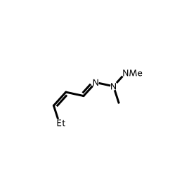 CC/C=C\C=N\N(C)NC